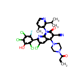 C=CC(=O)N1CCN(c2c(C#N)c(=O)n(-c3c(C)ccnc3C(C)C)c3nc(-c4c(F)c(Cl)c(Cl)c(O)c4Cl)c(Cl)cc23)CC1